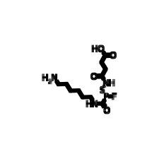 NCCCCCCNC(=O)P(F)SNC(=O)CCC(=O)O